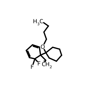 C=CC1(C2(OCCCC)CCCCC2)C=CC=CC1(F)F